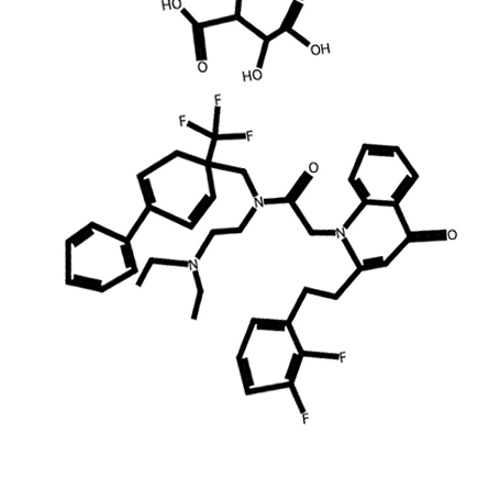 CCN(CC)CCN(CC1(C(F)(F)F)C=CC(c2ccccc2)=CC1)C(=O)Cn1c(CCc2cccc(F)c2F)cc(=O)c2ccccc21.O=C(O)C(O)C(O)C(=O)O